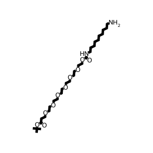 CC(C)(C)OC(=O)CCOCCOCCOCCOCCOCCOCCOC(=O)NCCCCCCCCCCN